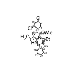 C=Cc1nc(-c2ccc(Cl)cc2Cl)c(OC)nc1N[C@@H]1c2ccccc2C[C@@H]1OCC